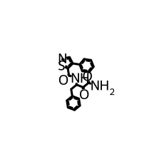 NC(=O)C(=O)C(Cc1ccccc1)NC(=O)c1sncc1-c1ccccc1